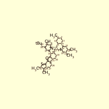 Cc1ccc2c(c1)C1C([n+]3cc(C)c(C)cc3-2)C12c1ccc3c(oc4c3ccc3c(C)c(C)sc34)c1-c1cc(CC(C)(C)C)c(C)c[n+]12